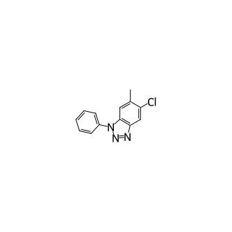 Cc1cc2c(cc1Cl)nnn2-c1ccccc1